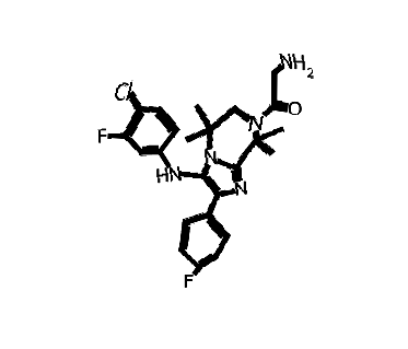 CC1(C)c2nc(-c3ccc(F)cc3)c(Nc3ccc(Cl)c(F)c3)n2C(C)(C)CN1C(=O)CN